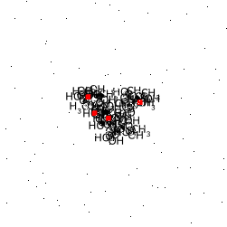 C[SiH]1O[SiH](O[SiH](O)O[Si]2(C)O[SiH](O[Si](C)(O)O)O[SiH](O[Si](O)(O)O)O[Si](C)(O[Si](C)(O)O[Si](O)(O[Si](C)(O)O)O[Si]3(C)O[Si](C)(O)O[Si](C)(O)O[Si](C)(O[Si](C)(O)O)O3)O2)O[Si](C)(O[Si](C)(O)O)O[Si](C)(O)O1